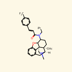 CC(=O)O[C@@]12CCC(N(CC(C)C)C(=O)/C=C/c3ccc(C(F)(F)F)cc3)C3Oc4cccc5c4[C@@]31CCN(C)[C@@H]2C5